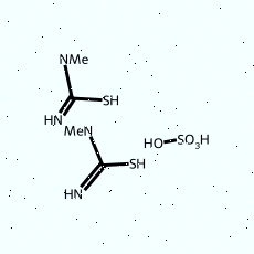 CNC(=N)S.CNC(=N)S.O=S(=O)(O)O